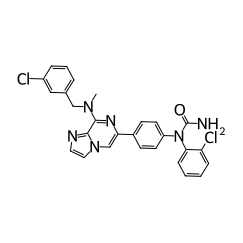 CN(Cc1cccc(Cl)c1)c1nc(-c2ccc(N(C(N)=O)c3ccccc3Cl)cc2)cn2ccnc12